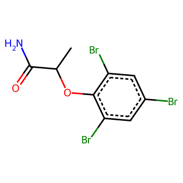 CC(Oc1c(Br)cc(Br)cc1Br)C(N)=O